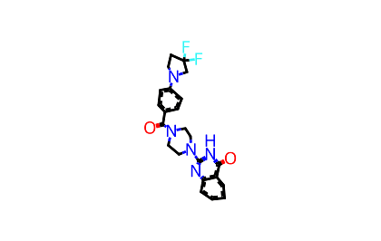 O=C(c1ccc(N2CCC(F)(F)C2)cc1)N1CCN(c2nc3ccccc3c(=O)[nH]2)CC1